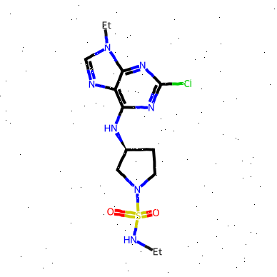 CCNS(=O)(=O)N1CC[C@H](Nc2nc(Cl)nc3c2ncn3CC)C1